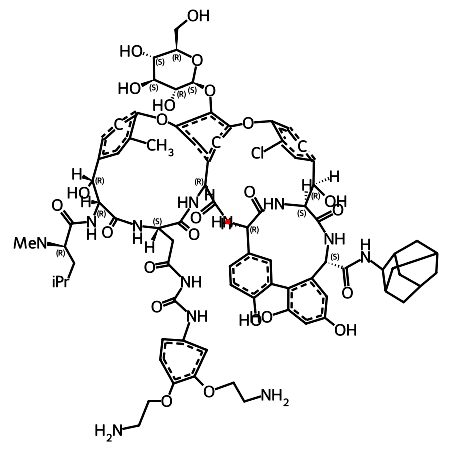 CN[C@H](CC(C)C)C(=O)N[C@H]1C(=O)N[C@@H](CC(=O)NC(=O)Nc2ccc(OCCN)c(OCCN)c2)C(=O)N[C@H]2C(=O)N[C@H]3C(=O)N[C@H](C(=O)N[C@H](C(=O)NC4C5CC6CC(C5)CC4C6)c4cc(O)cc(O)c4-c4cc3ccc4O)[C@H](O)c3ccc(c(Cl)c3)Oc3cc2cc(c3O[C@@H]2O[C@H](CO)[C@@H](O)[C@H](O)[C@H]2O)Oc2ccc(cc2C)[C@H]1O